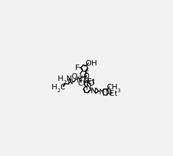 C=CCN(N)CC(=O)N(C=O)[C@@H](Cc1c(F)cc(O)cc1F)C(=O)N(CC)Cc1cccc(N2CC(N3CCN(CC)[C@H](C)C3)C2)n1